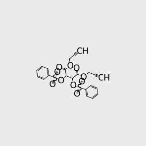 C#CCOC(=O)C(OS(=O)(=O)c1ccccc1)C(OS(=O)(=O)c1ccccc1)C(=O)OCC#C